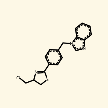 ClCC1CSC(c2ccc(Cn3cnc4ccccc43)cc2)=N1